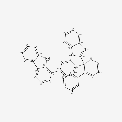 C1=NC=C(c2cccnc2)C(c2ccc(-c3cccc4c3[nH]c3ccccc34)cc2)(c2nc3ccccc3o2)C1